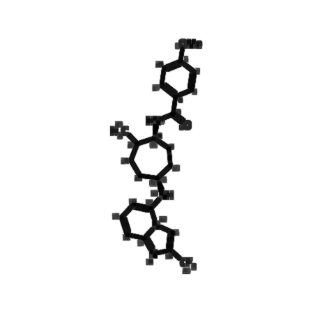 COc1ccc(C(=O)N[C@H]2CC[C@@H](Nc3cccc4nc(C(F)(F)F)cn34)CCC2C)cc1